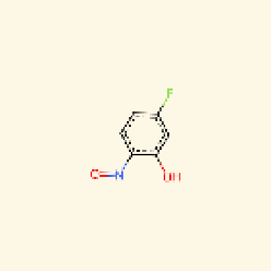 O=Nc1ccc(F)cc1O